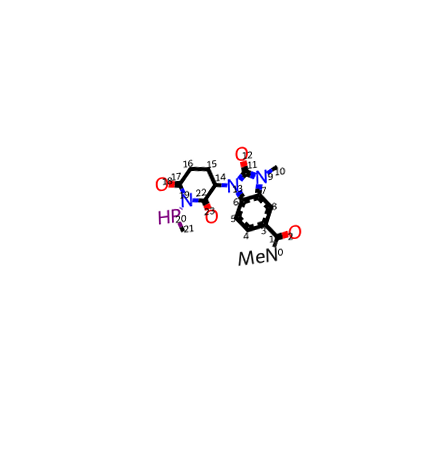 CNC(=O)c1ccc2c(c1)n(C)c(=O)n2C1CCC(=O)N(PC)C1=O